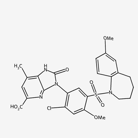 COc1ccc2c(c1)CCCCN2S(=O)(=O)c1cc(-n2c(=O)[nH]c3c(C)cc(C(=O)O)nc32)c(Cl)cc1OC